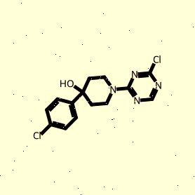 OC1(c2ccc(Cl)cc2)CCN(c2ncnc(Cl)n2)CC1